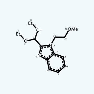 CCOC(OCC)c1nc2ccccc2n1CCOC